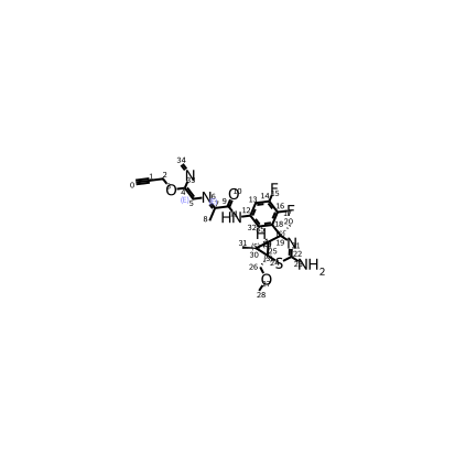 C#CCO/C(=C/N=C(\C)C(=O)Nc1cc(F)c(F)c([C@@]2(C)N=C(N)S[C@]3(COC)[C@H]2[C@@H]3C)c1)N=C